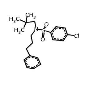 CC(C)(C)CN(CCCc1ccccc1)S(=O)(=O)c1ccc(Cl)cc1